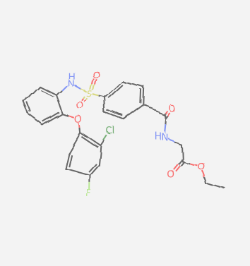 CCOC(=O)CNC(=O)c1ccc(S(=O)(=O)Nc2ccccc2Oc2ccc(F)cc2Cl)cc1